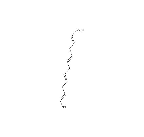 CCCC=CCC=CCC=CCC=CCCCCC